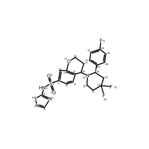 O=S(=O)(Nc1ncns1)c1ccc2c(c1)OCCC2N1CCC(F)(F)C[C@@H]1c1ccc(F)cc1